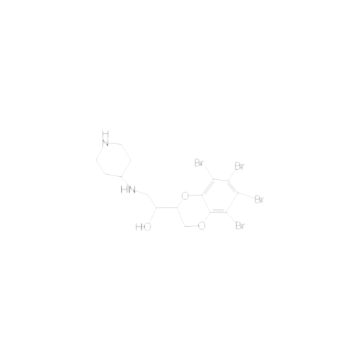 OC(CNC1CCNCC1)C1COc2c(Br)c(Br)c(Br)c(Br)c2O1